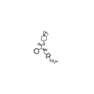 CN1CCC(OC(=O)C(NCc2ccc(C(=O)O)s2)c2ccccc2)CC1